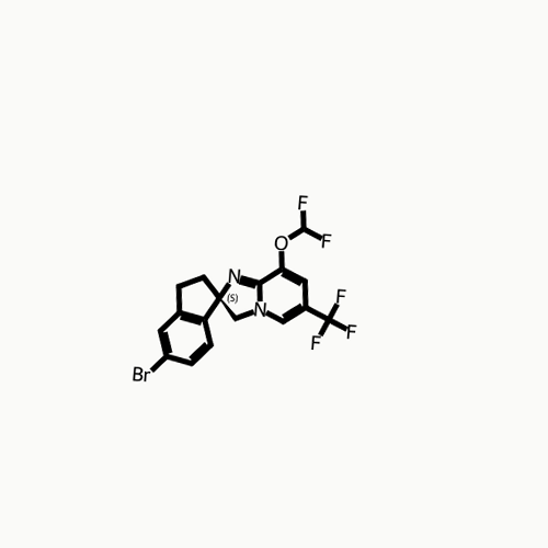 FC(F)OC1=CC(C(F)(F)F)=CN2C[C@@]3(CCc4cc(Br)ccc43)N=C12